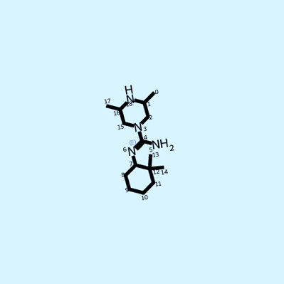 CC1CN(/C(N)=N/C2CCCCC2(C)C)CC(C)N1